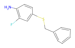 Nc1ccc(SCc2ccccc2)cc1F